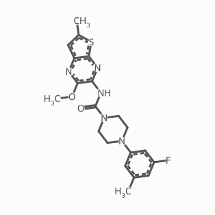 COc1nc2cc(C)sc2nc1NC(=O)N1CCN(c2cc(C)cc(F)c2)CC1